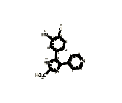 O=C(O)c1nc(-c2ccncc2)c(-c2ccc(Cl)c(O)c2)[nH]1